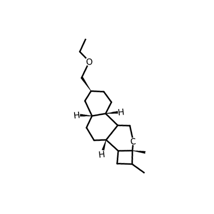 CCOC[C@H]1CC[C@@H]2C3CC[C@]4(C)C(C)CC4[C@@H]3CC[C@@H]2C1